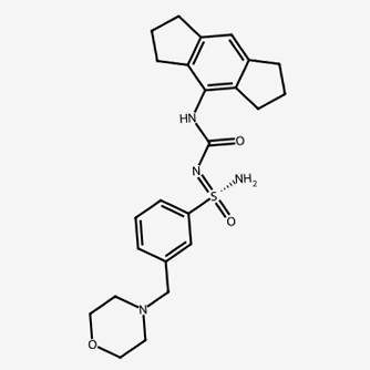 N[S@@](=O)(=NC(=O)Nc1c2c(cc3c1CCC3)CCC2)c1cccc(CN2CCOCC2)c1